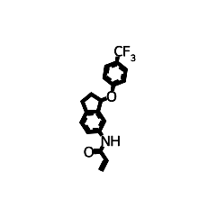 C=CC(=O)Nc1ccc2c(c1)C(Oc1ccc(C(F)(F)F)cc1)CC2